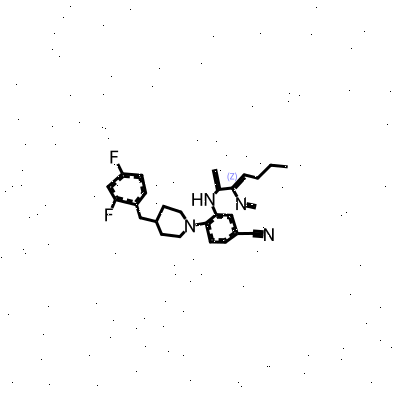 C=N/C(=C\CCC)C(=C)Nc1cc(C#N)ccc1N1CCC(Cc2ccc(F)cc2F)CC1